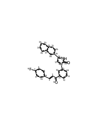 O=C(C=Cc1ccc(F)cc1)c1cccc(-n2cc(-c3ccc4ccccc4c3)[nH]c2=O)c1